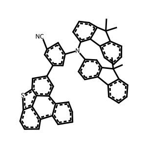 CC1(C)c2ccccc2-c2ccc(N(c3cc(C#N)cc(-c4cc5sc6cccc7c8ccccc8c(c4)c5c67)c3)c3cccc4c3-c3ccccc3C4(C)C)cc21